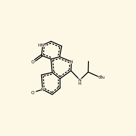 CC(Nc1nc2cc[nH]c(=O)c2c2c[n+]([O-])ccc12)C(C)(C)C